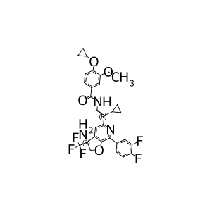 COc1cc(C(=O)NC[C@H](c2cc3c(c(-c4ccc(F)c(F)c4)n2)OC[C@@]3(N)C(F)(F)F)C2CC2)ccc1OC1CC1